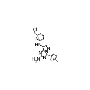 Cc1ccc(-c2nc(N)nc3c(Nc4cccc(CCl)n4)cnn23)o1